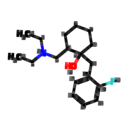 CCN(CC)CC1CCCCC1(O)Cc1ccccc1F